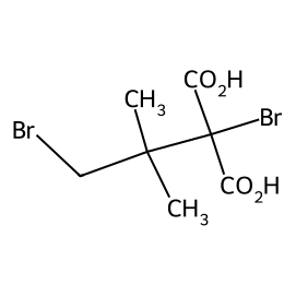 CC(C)(CBr)C(Br)(C(=O)O)C(=O)O